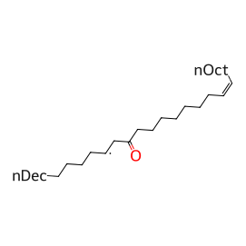 CCCCCCCC/C=C\CCCCCCCC(=O)C[CH]CCCCCCCCCCCCCC